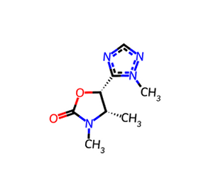 C[C@H]1[C@@H](c2ncnn2C)OC(=O)N1C